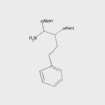 CCCCCCCCCC(N)C(CCCCC)CCc1ccccc1